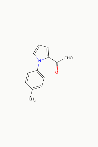 Cc1ccc(-n2cccc2C(=O)C=O)cc1